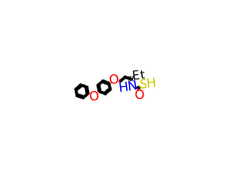 CC[C@@H](CCOc1ccc(Oc2ccccc2)cc1)NC(=O)S